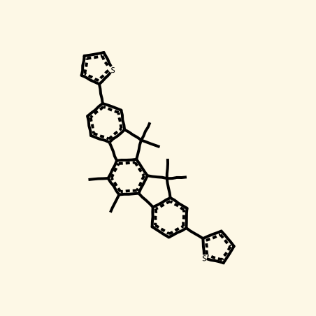 Cc1c(C)c2c(c3c1-c1ccc(-c4cccs4)cc1C3(C)C)C(C)(C)c1cc(-c3cccs3)ccc1-2